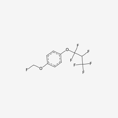 FCOc1ccc(OC(F)(F)C(F)C(F)(F)F)cc1